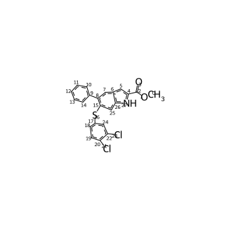 COC(=O)c1cc2cc(-c3ccccc3)c(Sc3ccc(Cl)c(Cl)c3)cc2[nH]1